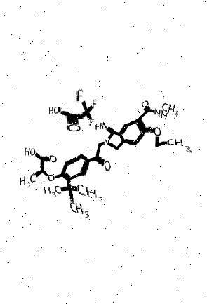 CCOc1cc2c(cc1C(=O)NC)C(=N)N(CC(=O)c1ccc(OC(C)C(=O)O)c(C(C)(C)C)c1)C2.O=C(O)C(F)(F)F